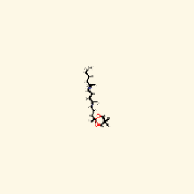 C/C(=C\CCC1(C)OCC(C)(C)CO1)CC/C=C(\C)CCCC(C)C